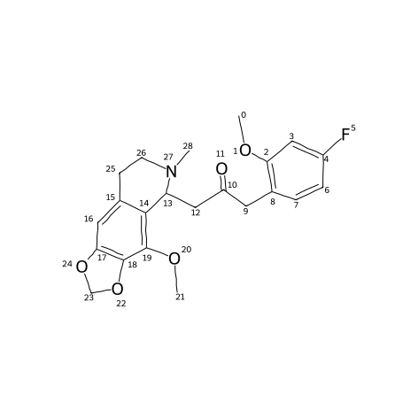 COc1cc(F)ccc1CC(=O)CC1c2c(cc3c(c2OC)OCO3)CCN1C